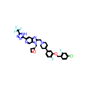 Fc1cc(Cl)ccc1COc1cc(C2=CCN(Cc3nc4cc(-c5nnc(C(F)(F)F)[nH]5)ncc4n3C[C@@H]3CCO3)CC2)ccc1F